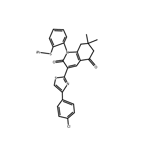 CC(C)Sc1ccccc1-n1c2c(cc(-c3nc(-c4ccc(Cl)cc4)cs3)c1=O)C(=O)CC(C)(C)C2